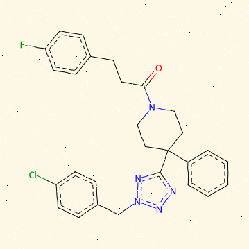 O=C(CCc1ccc(F)cc1)N1CCC(c2ccccc2)(c2nnn(Cc3ccc(Cl)cc3)n2)CC1